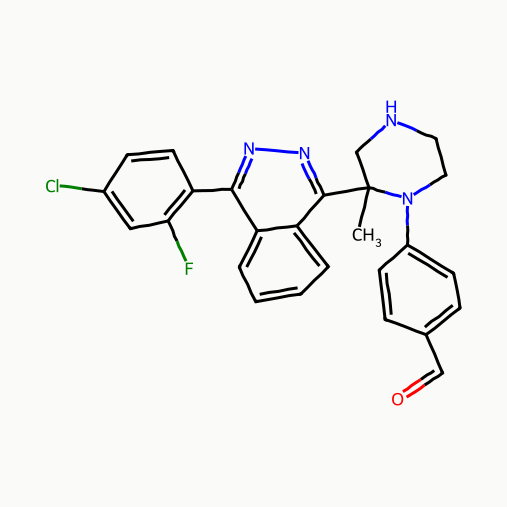 CC1(c2nnc(-c3ccc(Cl)cc3F)c3ccccc23)CNCCN1c1ccc(C=O)cc1